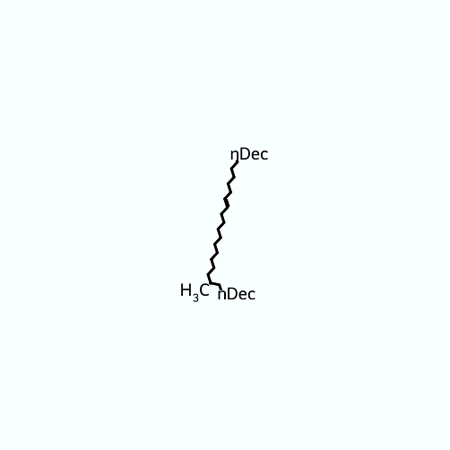 CCCCCCCCCCCCCCCC=CCCCCCCCCCC(C)CCCCCCCCCCC